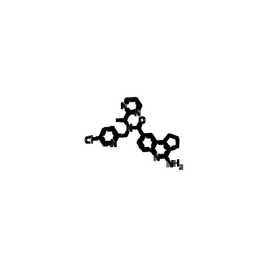 CC(c1ncccn1)N(Cc1ccc(Cl)cn1)C(=O)c1ccc2nc(N)c3c(c2c1)CCC3